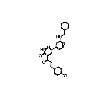 O=C(NCc1ccc(Cl)cc1)c1cc(-c2ccnc(NCc3ccccc3)c2)n[nH]c1=O